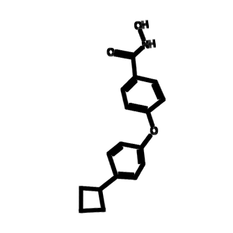 O=C(NO)c1ccc(Oc2ccc(C3CCC3)cc2)cc1